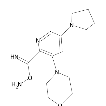 N=C(ON)c1ncc(N2CCCC2)cc1N1CCOCC1